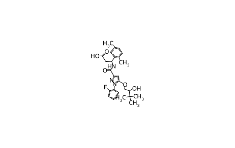 Cc1ccc(C)c([C@H](CC(=O)O)NC(=O)c2cc(OC[C@@H](O)C(C)(C)C)n(-c3ccccc3F)n2)c1